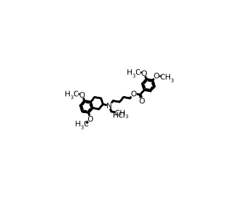 CCN(CCCCOC(=O)c1ccc(OC)c(OC)c1)C1CCc2c(OC)ccc(OC)c2C1.Cl